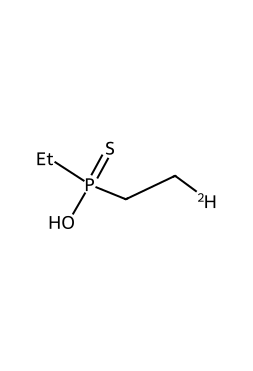 [2H]CCP(O)(=S)CC